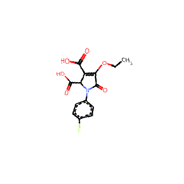 CCOC1=C(C(=O)O)C(C(=O)O)N(c2ccc(F)cc2)C1=O